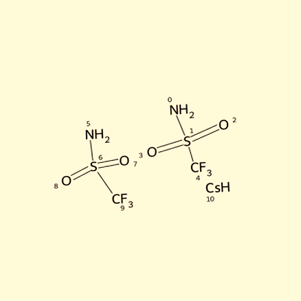 NS(=O)(=O)C(F)(F)F.NS(=O)(=O)C(F)(F)F.[CsH]